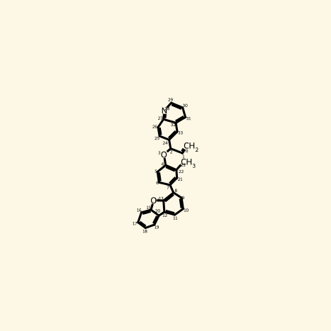 C=CC(Oc1ccc(-c2cccc3c2oc2ccccc23)cc1C)c1ccc2ncccc2c1